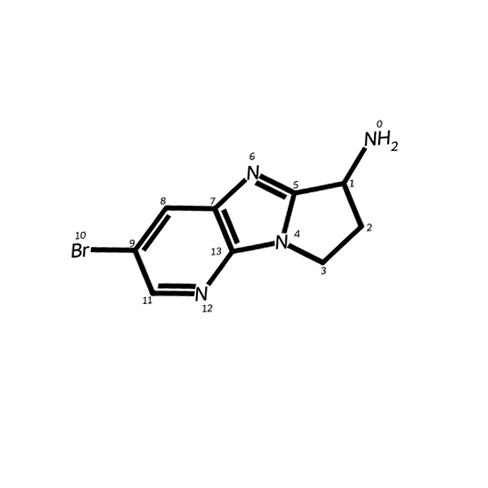 NC1CCn2c1nc1cc(Br)cnc12